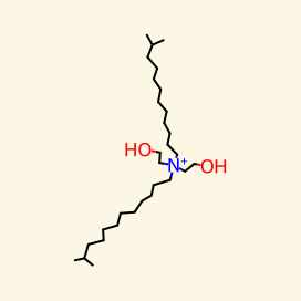 CC(C)CCCCCCCCCC[N+](CCO)(CCO)CCCCCCCCCCC(C)C